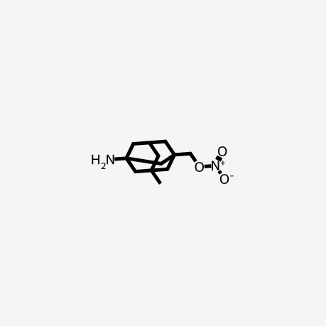 CC12CC3CC(N)(C1)CC(CO[N+](=O)[O-])(C3)C2